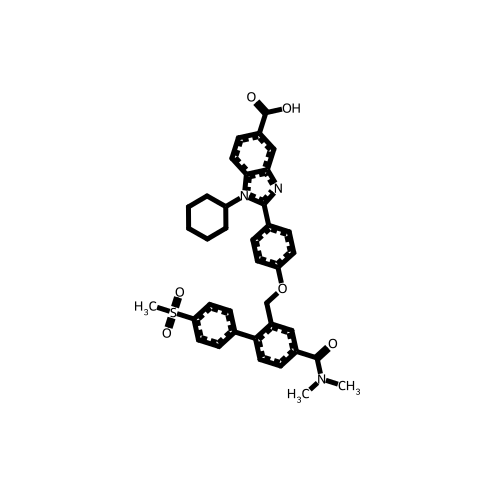 CN(C)C(=O)c1ccc(-c2ccc(S(C)(=O)=O)cc2)c(COc2ccc(-c3nc4cc(C(=O)O)ccc4n3C3CCCCC3)cc2)c1